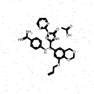 C=CCOc1cc([C@H](Nc2ccc(C(=N)N)cc2)c2nn(-c3ncccn3)c(=O)[nH]2)cc2c1OCOC2.CC(=O)O